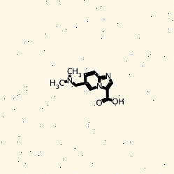 CN(C)Cc1ccc2ncc(C(=O)O)n2c1